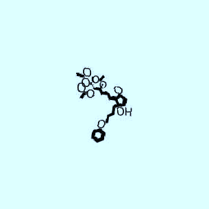 CC(=O)OC[C@@H](OC(C)=O)[C@H](/C=C/C=C1\C(=O)C=CC1(O)CCCCOc1ccccc1)OC(C)=O